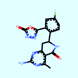 Cc1nc(N)nc2c1C(=O)NC(c1ccc(F)cc1-c1n[nH]c(=O)o1)C2